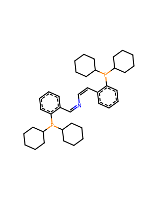 C(=C/c1ccccc1P(C1CCCCC1)C1CCCCC1)/N=C\c1ccccc1P(C1CCCCC1)C1CCCCC1